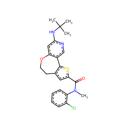 CN(C(=O)c1cc2c(s1)-c1cnc(NC(C)(C)C)cc1OCC2)c1ccccc1Cl